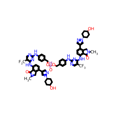 CN1Cc2c(-c3cnn([C@H]4CC[C@H](O)CC4)c3)ccc(Nc3nc(Nc4ccc(CO[PH](=O)OCc5ccc(Nc6ncc(C(F)(F)F)c(Nc7ccc(-c8cnn([C@H]9CC[C@H](O)CC9)c8)c8c7C(=O)N(C)C8)n6)cc5)cc4)ncc3C(F)(F)F)c2C1=O